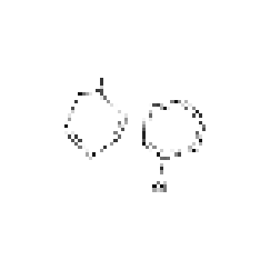 C1=CCNC=C1.Oc1ccccc1